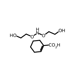 O=C(O)C1=CCCCC1.OCCONOCCO